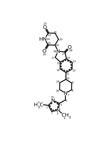 Cc1cn(C)c(CN2CCC(c3ccc4c(c3)CN(C3CCC(=O)NC3=O)C4=O)CC2)n1